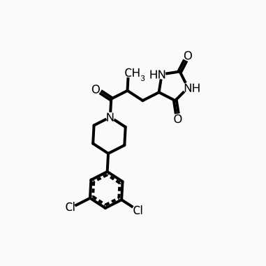 CC(CC1NC(=O)NC1=O)C(=O)N1CCC(c2cc(Cl)cc(Cl)c2)CC1